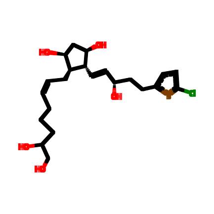 OCC(O)CCC/C=C\C[C@@H]1[C@@H](/C=C/[C@@H](O)CCc2ccc(Cl)s2)[C@H](O)C[C@@H]1O